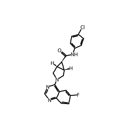 O=C(Nc1ccc(Cl)cc1)[C@H]1[C@@H]2CN(c3ncnc4ccc(F)cc34)C[C@@H]21